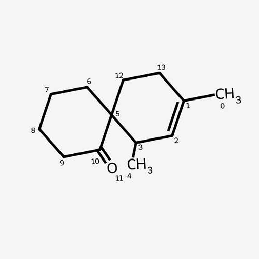 CC1=CC(C)C2(CCCCC2=O)CC1